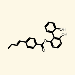 CCC=Cc1ccc(C(=O)Oc2cccc(O)c2-c2ccccc2O)cc1